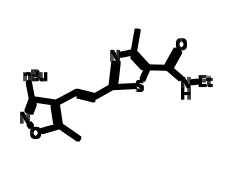 CCCCc1noc(C)c1C=Cc1nc(C)c(C(=O)NCC)s1